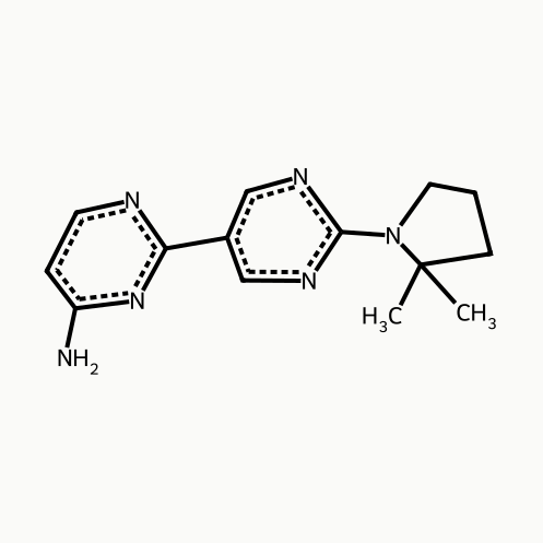 CC1(C)CCCN1c1ncc(-c2nccc(N)n2)cn1